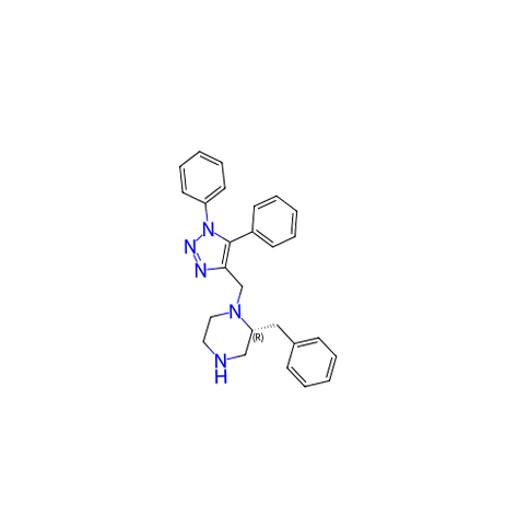 c1ccc(C[C@@H]2CNCCN2Cc2nnn(-c3ccccc3)c2-c2ccccc2)cc1